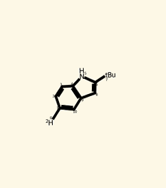 [2H]c1ccc2[nH]c(C(C)(C)C)cc2c1